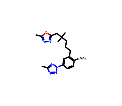 COc1ccc(-n2nnc(C)n2)cc1CCCC(C)(C)Cc1nnc(C)o1